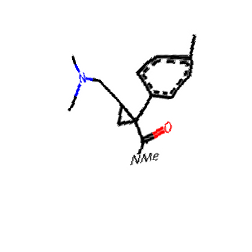 CNC(=O)C1(c2ccc(C)cc2)CC1CN(C)C